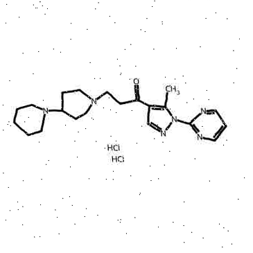 Cc1c(C(=O)CCN2CCC(N3CCCCC3)CC2)cnn1-c1ncccn1.Cl.Cl